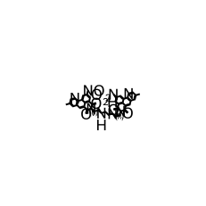 Cc1cnc2c(c1)cc1c3c(cc([N+](=O)[O-])cc32)C(=O)N([C@H](C)CNCCNC[C@@H](C)N2C(=O)c3cc([N+](=O)[O-])cc4c3c(cc3cc(C)cnc34)C2=O)C1=O